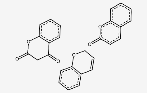 C1=Cc2ccccc2OC1.O=C1CC(=O)c2ccccc2O1.O=c1ccc2ccccc2o1